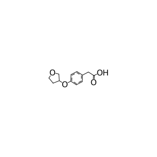 O=C(O)Cc1ccc(OC2CCOC2)cc1